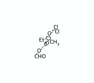 CCc1cc(OCC=C(Cl)Cl)cc(C)c1OCCCCOCCC=O